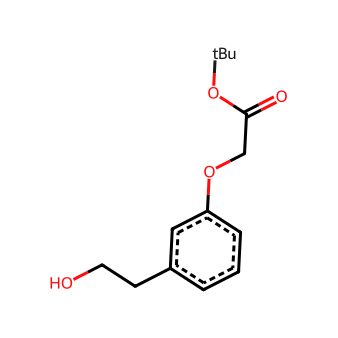 CC(C)(C)OC(=O)COc1cccc(CCO)c1